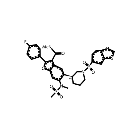 CNC(=O)c1c(-c2ccc(F)cc2)oc2cc(N(C)S(C)(=O)=O)c([C@@H]3CCCN(S(=O)(=O)c4ccc5ncsc5c4)C3)cc12